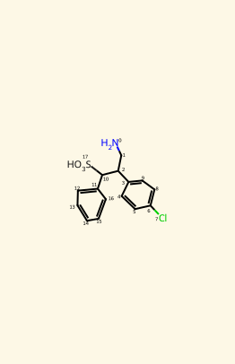 NCC(c1ccc(Cl)cc1)C(c1ccccc1)S(=O)(=O)O